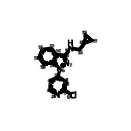 Clc1nccc(-n2nc(NCC3CC3)c3ccccc32)n1